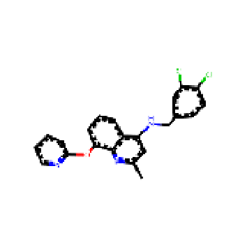 Cc1cc(NCc2ccc(Cl)c(Cl)c2)c2cccc(Oc3ccccn3)c2n1